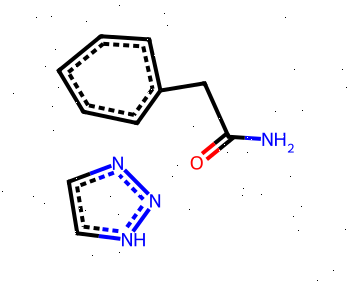 NC(=O)Cc1ccccc1.c1c[nH]nn1